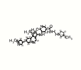 Cc1ncc(C(=O)NCCN2CC[C@H](C)C2)cc1Nc1nn(C)c2c1cnn1cc(-c3cnn(C)c3)cc21